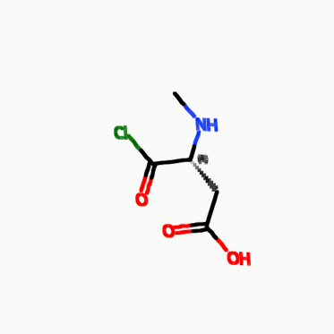 CN[C@H](CC(=O)O)C(=O)Cl